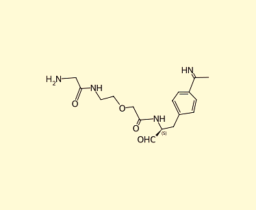 CC(=N)c1ccc(C[C@@H](C=O)NC(=O)COCCNC(=O)CN)cc1